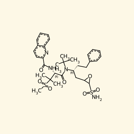 CC(C)(C)N(C(=O)[C@@H](NC(=O)c1ccc2ccccc2n1)C(C)(C)S(C)(=O)=O)[C@H](CCc1ccccc1)CC1OC1S(N)(=O)=O